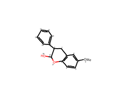 COc1ccc2c(c1)CC(c1ccccc1)C(O)O2